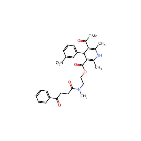 COC(=O)C1=C(C)NC(C)=C(C(=O)OCCN(C)C(=O)CCC(=O)c2ccccc2)C1c1cccc([N+](=O)[O-])c1